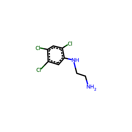 NCCNc1cc(Cl)c(Cl)cc1Cl